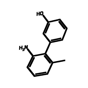 Cc1cccc(N)c1-c1cccc(O)c1